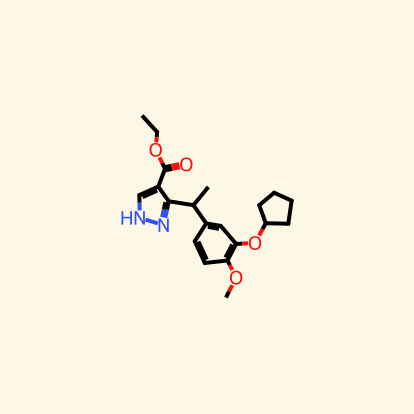 CCOC(=O)c1c[nH]nc1C(C)c1ccc(OC)c(OC2CCCC2)c1